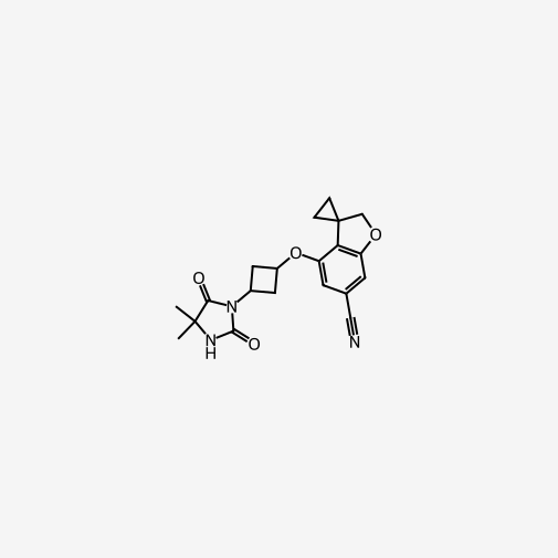 CC1(C)NC(=O)N(C2CC(Oc3cc(C#N)cc4c3C3(CC3)CO4)C2)C1=O